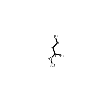 [CH2]COC(F)CCF